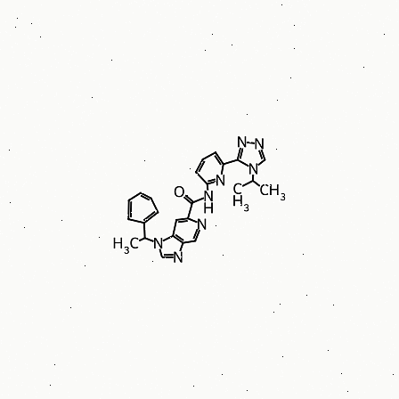 CC(C)n1cnnc1-c1cccc(NC(=O)c2cc3c(cn2)ncn3C(C)c2ccccc2)n1